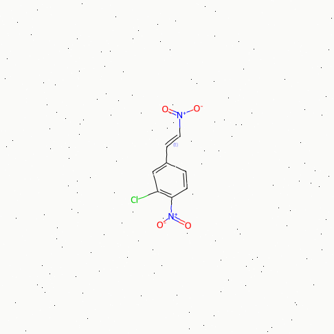 O=[N+]([O-])/C=C/c1ccc([N+](=O)[O-])c(Cl)c1